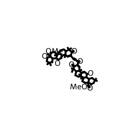 COC(=O)C12CCC(C)(C)CC1C1C(=O)C=C3C4(C)C=C(C#CC(=O)C5=CC6(C)C7=CC(=O)C8C9CC(C)(C)CCC9(C(=O)OC)CCC8(C)C7(C)CCC6C(C)(C)C5=O)C(=O)C(C)(C)C4CCC3(C)C1(C)CC2